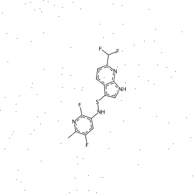 Cc1nc(F)c(NSc2c[nH]c3nc(C(F)F)ccc23)cc1F